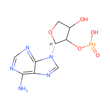 Nc1ncnc2c1ncn2[C@@H]1OCC(O)C1O[PH](=O)O